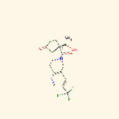 CC(O)[C@]1(C(=O)N2CCc3ncc(C(F)(F)F)cc3C2)CCC(=O)C1